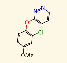 COc1ccc(Oc2cccnn2)c(Cl)c1